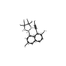 CC#Cc1c(F)ccc2cc(C)cc(B3OC(C)(C)C(C)(C)O3)c12